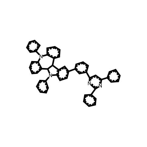 c1ccc(-c2cc(-c3cccc(-c4ccc5c(c4)C4c6ccccc6N(c6ccccc6)c6ccccc6C4N5c4ccccc4)c3)nc(-c3ccccc3)n2)cc1